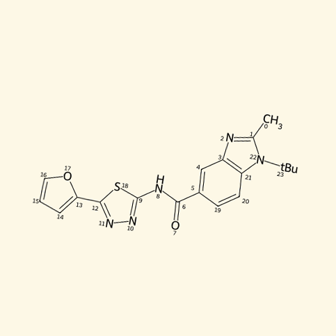 Cc1nc2cc(C(=O)Nc3nnc(-c4ccco4)s3)ccc2n1C(C)(C)C